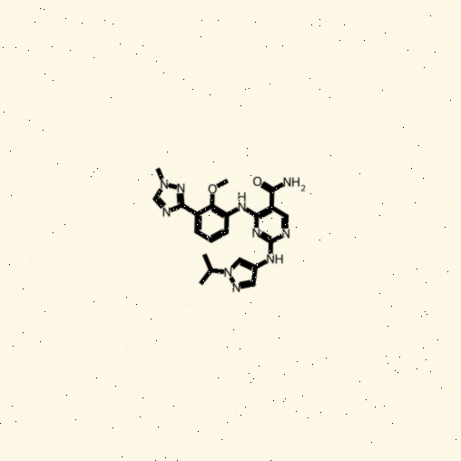 COc1c(Nc2nc(Nc3cnn(C(C)C)c3)ncc2C(N)=O)cccc1-c1ncn(C)n1